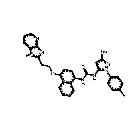 Cc1ccc(-n2nc(C(C)(C)C)cc2NC(=O)Nc2ccc(OCCc3nc4ncccc4[nH]3)c3ccccc23)cc1